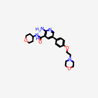 Nc1ncc(-c2ccc(OCCN3CCOCC3)cc2)cc1C(=O)NC1CCOCC1